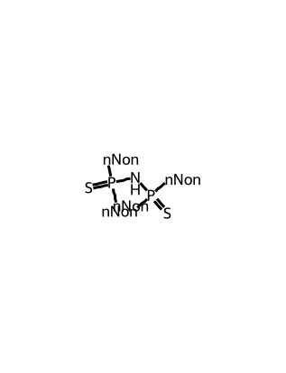 CCCCCCCCCP(=S)(CCCCCCCCC)NP(=S)(CCCCCCCCC)CCCCCCCCC